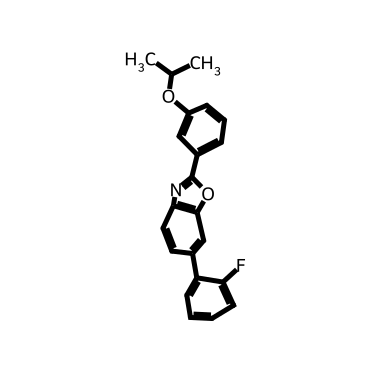 CC(C)Oc1cccc(-c2nc3ccc(-c4ccccc4F)cc3o2)c1